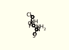 Nc1ncc(C2CCSCC2)cc1-c1ccc(C(=O)NCc2cccc(Cl)c2)c(F)c1